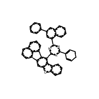 C1=CC(c2nc(-c3cc(-c4ccccc4)cc4ccccc34)nc(-c3c4c(cc5oc6ccccc6c35)-c3cccc5cccc-4c35)n2)=CCC1